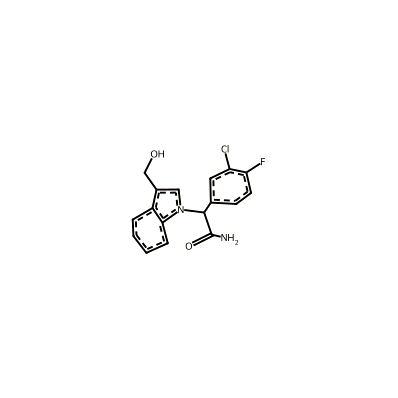 NC(=O)C(c1ccc(F)c(Cl)c1)n1cc(CO)c2ccccc21